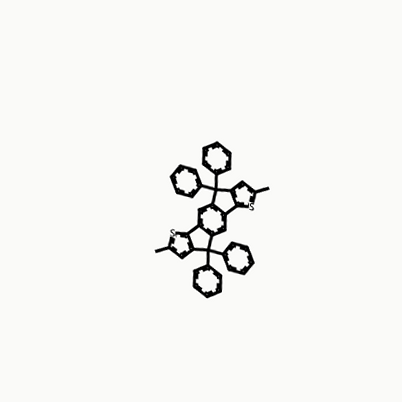 Cc1cc2c(s1)-c1cc3c(cc1C2(c1ccccc1)c1ccccc1)-c1sc(C)cc1C3(c1ccccc1)c1ccccc1